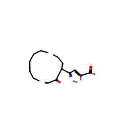 O=C(O)c1cc(C2CCCCCCCCCCC2=O)no1